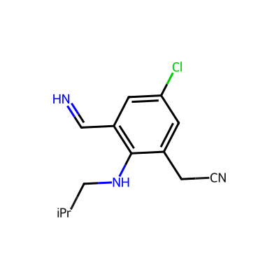 CC(C)CNc1c(C=N)cc(Cl)cc1CC#N